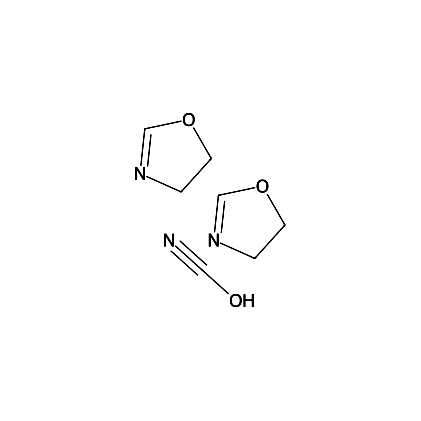 C1=NCCO1.C1=NCCO1.N#CO